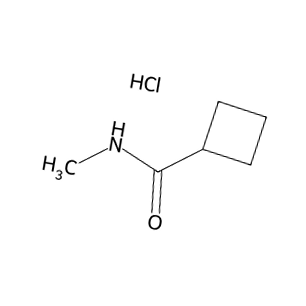 CNC(=O)C1CCC1.Cl